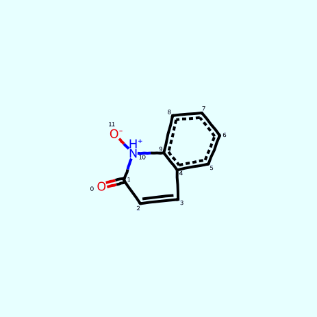 O=C1C=Cc2ccccc2[NH+]1[O-]